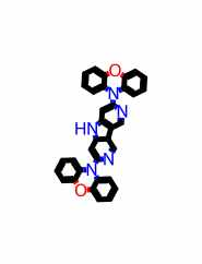 C1=NC(N2c3ccccc3Oc3ccccc32)=CC2Nc3cc(N4c5ccccc5Oc5ccccc54)ncc3C12